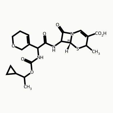 CC1S[C@@H]2C(NC(=O)C(NC(=O)OC(C)C3CC3)C3=CCCOC3)C(=O)N2C=C1C(=O)O